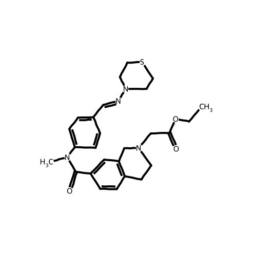 CCOC(=O)CN1CCc2ccc(C(=O)N(C)c3ccc(C=NN4CCSCC4)cc3)cc2C1